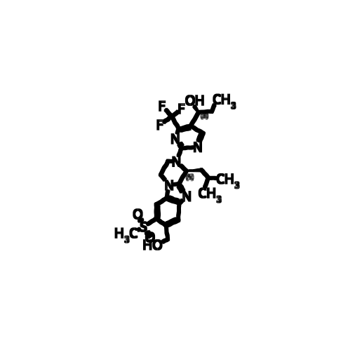 CC[C@H](O)c1cnc(N2CCn3c(nc4cc(CO)c(S(C)(=O)=O)cc43)[C@@H]2CC(C)C)nc1C(F)(F)F